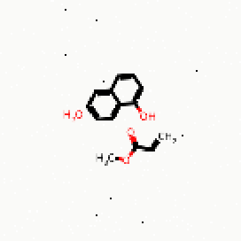 C=CC(=O)OC.O.Oc1cccc2ccccc12